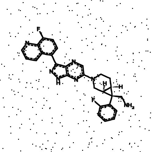 NC[C@]1(c2ccccc2F)[C@@H]2CCN(c3cnc4c(-c5ccc(F)c6ncccc56)n[nH]c4n3)C[C@@H]21